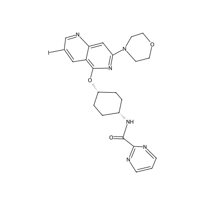 O=C(N[C@H]1CC[C@@H](Oc2nc(N3CCOCC3)cc3ncc(I)cc23)CC1)c1ncccn1